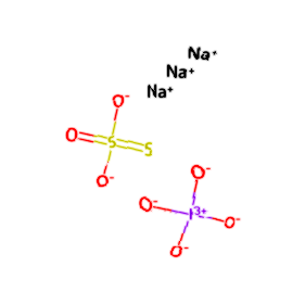 O=S([O-])([O-])=S.[Na+].[Na+].[Na+].[O-][I+3]([O-])([O-])[O-]